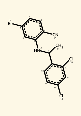 CC(Nc1cc(Br)ccc1C#N)c1ccc(Cl)cc1Cl